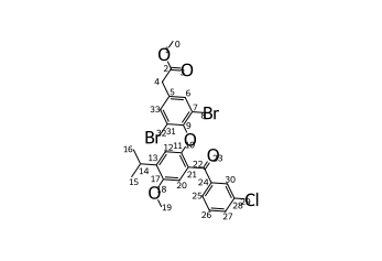 COC(=O)Cc1cc(Br)c(Oc2cc(C(C)C)c(OC)cc2C(=O)c2cccc(Cl)c2)c(Br)c1